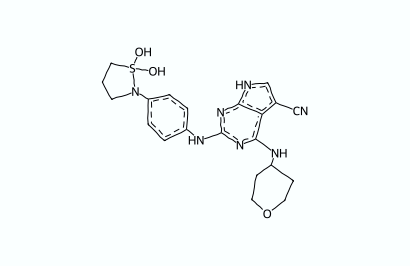 N#Cc1c[nH]c2nc(Nc3ccc(N4CCCS4(O)O)cc3)nc(NC3CCOCC3)c12